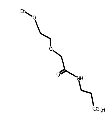 CCOCCOCC(=O)NCCC(=O)O